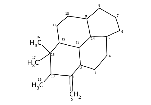 C=C1C2CCC3CCCC4CCC(C2C34)C(C)(C)C1C